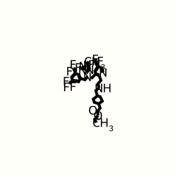 CCOC(=O)CC1CCC(CNCCc2ncc(C(F)(F)F)cc2CN(Cc2cc(C(F)(F)F)cc(C(F)(F)F)c2)c2nnn(C)n2)CC1